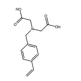 C=Cc1ccc(CN(CC(=O)O)CC(=O)O)cc1